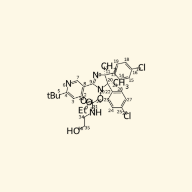 CCOc1cc(C(C)(C)C)ncc1C1=N[C@@](C)(c2ccc(Cl)cc2)[C@@](C)(c2ccc(Cl)cc2)N1OC(=O)NCCO